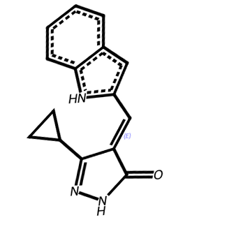 O=C1NN=C(C2CC2)/C1=C\c1cc2ccccc2[nH]1